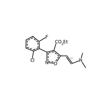 CCOC(=O)c1c(-c2c(F)cccc2Cl)noc1/C=C/N(C)C